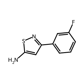 Nc1cc(-c2cccc(F)c2)ns1